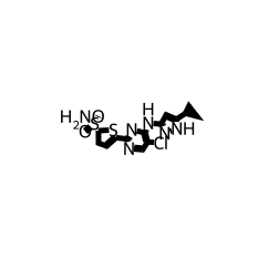 NS(=O)(=O)C1CC=C(c2ncc(Cl)c(Nc3cc(C4CC4)[nH]n3)n2)S1